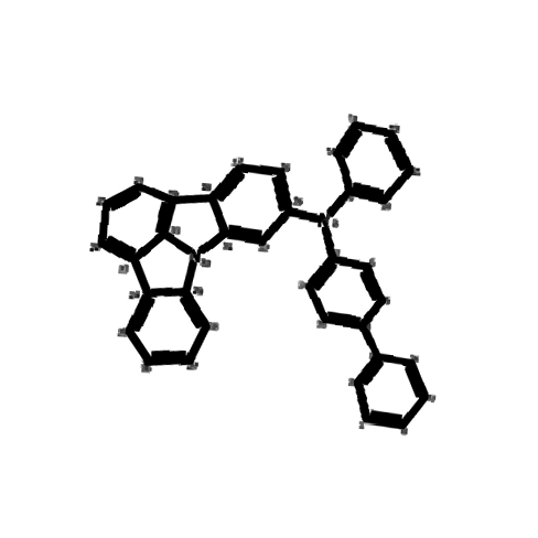 c1ccc(-c2ccc(N(c3ccccc3)c3ccc4c5cccc6c7ccccc7n(c4c3)c65)cc2)cc1